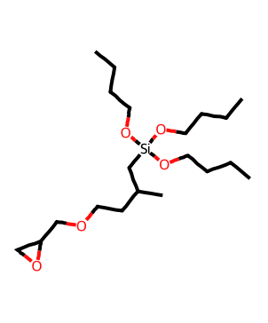 CCCCO[Si](CC(C)CCOCC1CO1)(OCCCC)OCCCC